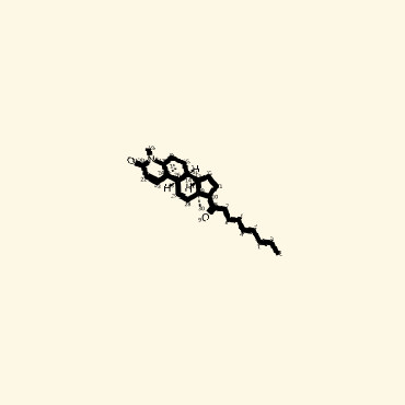 CCCCCCCCC(=O)C1CC[C@H]2[C@@H]3CCC4N(C)C(=O)C=C[C@]4(C)[C@@H]3CC[C@]12C